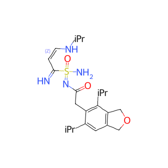 CC(C)N/C=C\C(=N)S(N)(=O)=NC(=O)Cc1c(C(C)C)cc2c(c1C(C)C)COC2